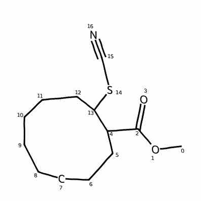 COC(=O)C1CCCCCCCCC1SC#N